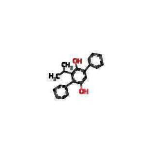 CC(C)c1c(O)c(-c2ccccc2)cc(O)c1-c1ccccc1